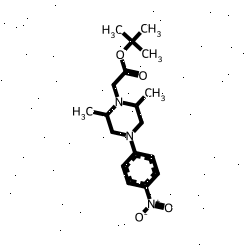 CC1CN(c2ccc([N+](=O)[O-])cc2)CC(C)N1CC(=O)OC(C)(C)C